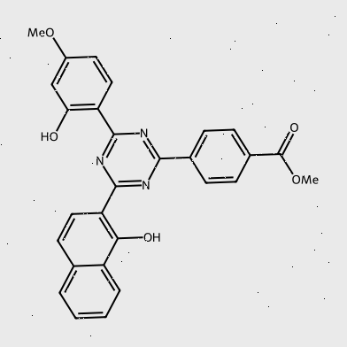 COC(=O)c1ccc(-c2nc(-c3ccc(OC)cc3O)nc(-c3ccc4ccccc4c3O)n2)cc1